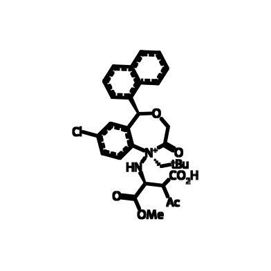 COC(=O)[C@@H](N[N@+]1(CC(C)(C)C)C(=O)CO[C@H](c2cccc3ccccc23)c2cc(Cl)ccc21)C(C(C)=O)C(=O)O